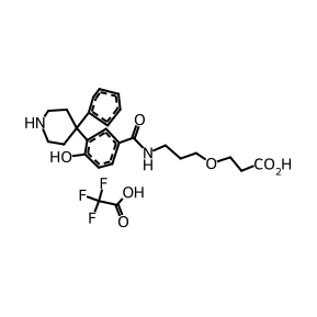 O=C(O)C(F)(F)F.O=C(O)CCOCCCNC(=O)c1ccc(O)c(C2(c3ccccc3)CCNCC2)c1